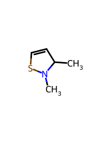 CC1C=CSN1C